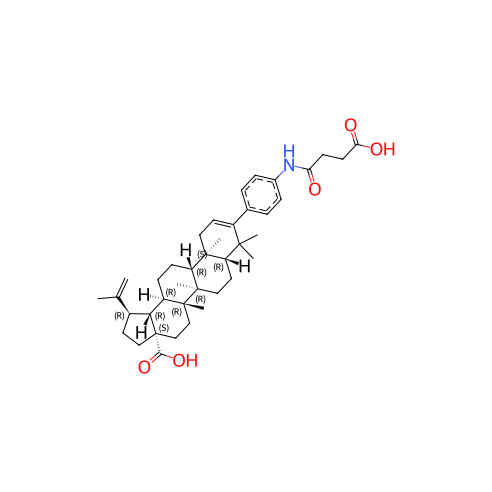 C=C(C)[C@@H]1CC[C@]2(C(=O)O)CC[C@]3(C)[C@H](CC[C@@H]4[C@@]5(C)CC=C(c6ccc(NC(=O)CCC(=O)O)cc6)C(C)(C)[C@@H]5CC[C@]43C)[C@@H]12